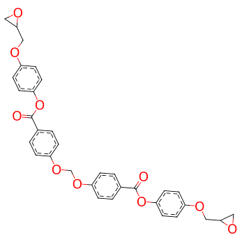 O=C(Oc1ccc(OCC2CO2)cc1)c1ccc(OCOc2ccc(C(=O)Oc3ccc(OCC4CO4)cc3)cc2)cc1